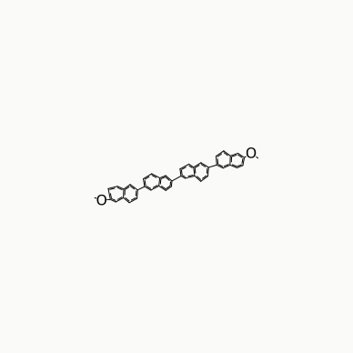 COc1ccc2cc(-c3ccc4cc(-c5ccc6cc(-c7ccc8cc(OC)ccc8c7)ccc6c5)ccc4c3)ccc2c1